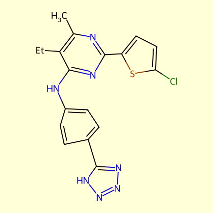 CCc1c(C)nc(-c2ccc(Cl)s2)nc1Nc1ccc(-c2nnn[nH]2)cc1